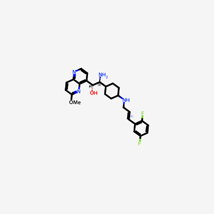 COc1ccc2nccc([C@@H](O)[C@@H](N)C3CCC(NC/C=C/c4cc(F)ccc4F)CC3)c2n1